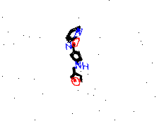 c1cnc2oc(-c3ccc(NCC4CCOC4)cc3)nc2c1